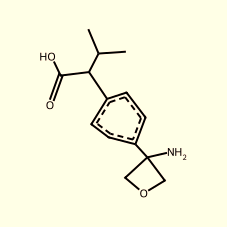 CC(C)C(C(=O)O)c1ccc(C2(N)COC2)cc1